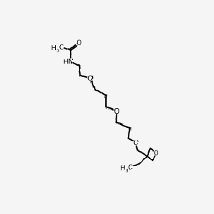 CCC1(COCCCOCCCOCCNC(C)=O)COC1